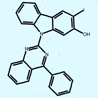 Oc1cc2c(cc1I)c1ccccc1n2-c1nc(-c2ccccc2)c2ccccc2n1